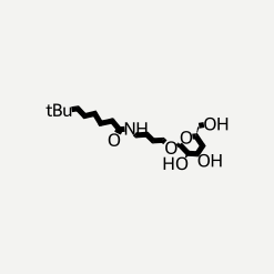 CC(C)(C)CCCCCC(=O)NCCCCO[C@H]1O[C@H](CO)C[C@H](O)[C@@H]1O